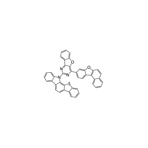 c1ccc2c(c1)ccc1oc3cc(-c4nc(-n5c6ccccc6c6ccc7c8ccccc8sc7c65)nc5c4oc4ccccc45)ccc3c12